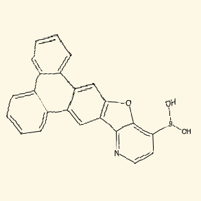 OB(O)c1ccnc2c1oc1cc3c4ccccc4c4ccccc4c3cc12